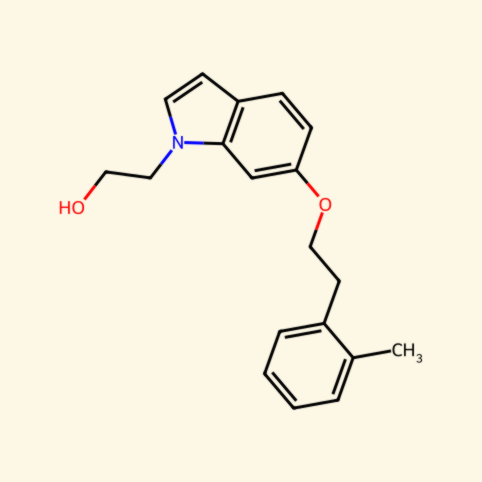 Cc1ccccc1CCOc1ccc2ccn(CCO)c2c1